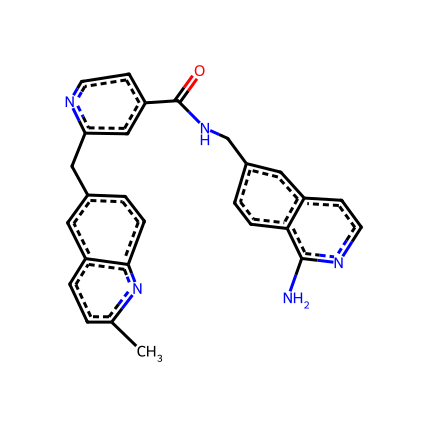 Cc1ccc2cc(Cc3cc(C(=O)NCc4ccc5c(N)nccc5c4)ccn3)ccc2n1